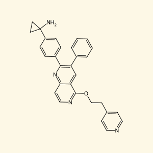 NC1(c2ccc(-c3nc4ccnc(OCCc5ccncc5)c4cc3-c3ccccc3)cc2)CC1